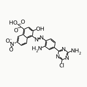 Nc1nc(Cl)nc(-c2ccc(N=Nc3c(O)cc(S(=O)(=O)O)c4cc([N+](=O)[O-])ccc34)c(N)c2)n1